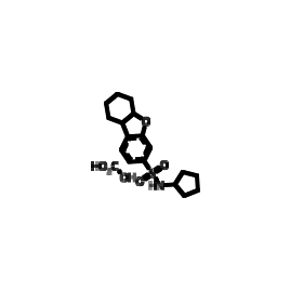 O=C(O)O.O=S(=O)(NC1CCCC1)c1ccc2c(c1)OC1CCCCC21